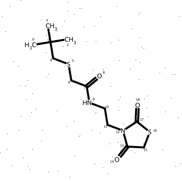 CC(C)(C)CSCC(=O)NCCN1C(=O)CSC1=O